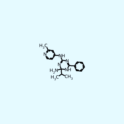 Cc1cc(NC2=NC(N)(C(C)C)NC(c3ccccc3)=N2)ccn1